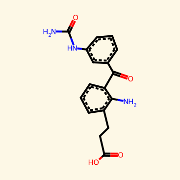 NC(=O)Nc1cccc(C(=O)c2cccc(CCC(=O)O)c2N)c1